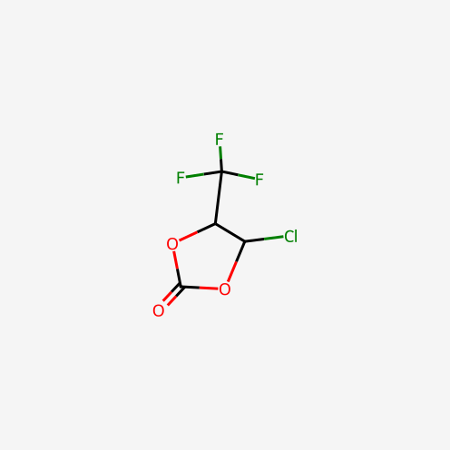 O=C1OC(Cl)C(C(F)(F)F)O1